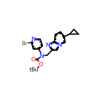 CC(C)(C)OC(=O)N(Cc1cn2cc(C3CC3)ccc2n1)c1ccnc(Br)c1